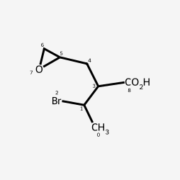 CC(Br)C(CC1CO1)C(=O)O